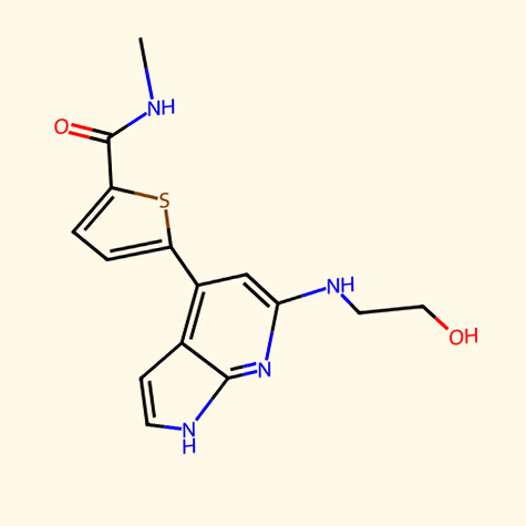 CNC(=O)c1ccc(-c2cc(NCCO)nc3[nH]ccc23)s1